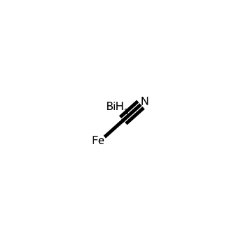 N#[C][Fe].[BiH3]